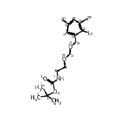 CC(C)(C)OC(=O)NCCOCOCc1cc(I)cc(I)c1I